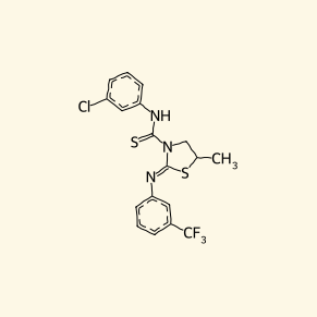 CC1CN(C(=S)Nc2cccc(Cl)c2)C(=Nc2cccc(C(F)(F)F)c2)S1